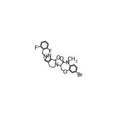 CN1C(=O)C(N2CCc3cn(Cc4c(F)cccc4F)nc3C2=O)COc2cc(Br)ccc21